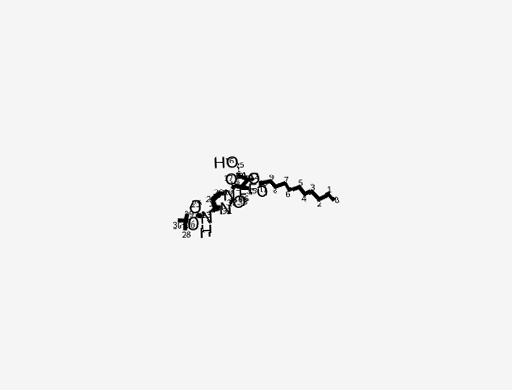 CCCCCCCCCCC(=O)O[C@@H]1[C@@H](CO)OC(n2ccc(NC(=O)OC(C)(C)C)nc2=O)C1(F)F